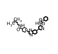 CN(C)CCNC(=O)C1CCN(c2cnc3ccc(-c4cncc(NS(=O)(=O)c5ccccc5)c4)cc3n2)CC1